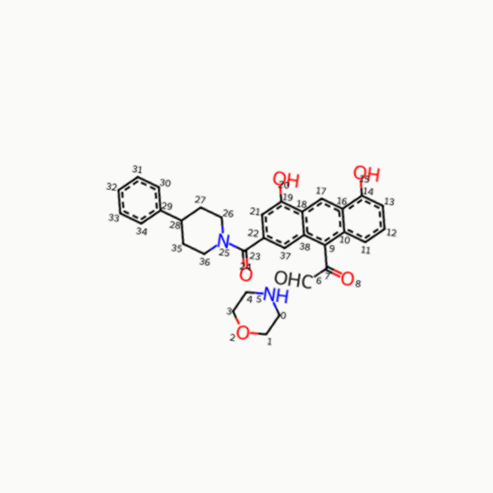 C1COCCN1.O=CC(=O)c1c2cccc(O)c2cc2c(O)cc(C(=O)N3CCC(c4ccccc4)CC3)cc12